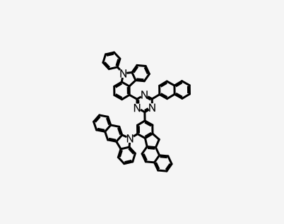 c1ccc(-n2c3ccccc3c3c(-c4nc(-c5cc6c(c(-n7c8ccccc8c8cc9ccccc9cc87)c5)-c5ccc7ccccc7c5C6)nc(-c5ccc6ccccc6c5)n4)cccc32)cc1